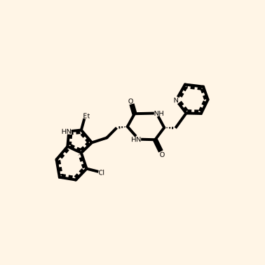 CCc1[nH]c2cccc(Cl)c2c1CC[C@H]1NC(=O)[C@@H](Cc2ccccn2)NC1=O